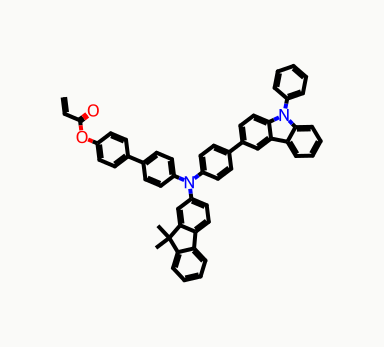 C=CC(=O)Oc1ccc(-c2ccc(N(c3ccc(-c4ccc5c(c4)c4ccccc4n5-c4ccccc4)cc3)c3ccc4c(c3)C(C)(C)c3ccccc3-4)cc2)cc1